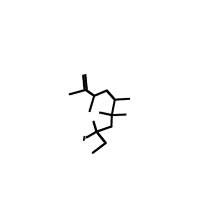 C=C(C)C(C)CC(C)C(C)(C)CC(C)(F)CC